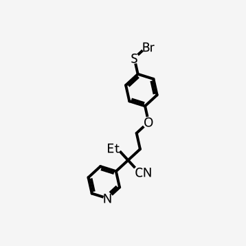 CCC(C#N)(CCOc1ccc(SBr)cc1)c1cccnc1